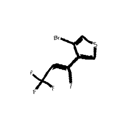 FC(F)(F)/C=C(\I)c1cscc1Br